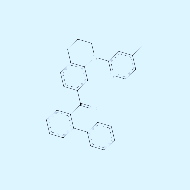 Cc1ccnc(N2CCCc3ccc(C(=O)c4ccccc4-c4ccccc4)cc32)c1